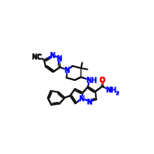 CC1(C)CN(c2ccc(C#N)nn2)CCC1Nc1c(C(N)=O)cnn2cc(-c3ccccc3)cc12